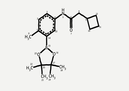 Cc1ccc(NC(=O)CC2CCC2)cc1B1OC(C)(C)C(C)(C)O1